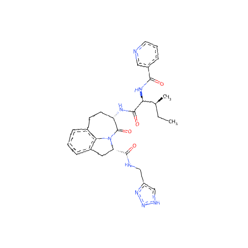 CC[C@H](C)[C@H](NC(=O)c1cccnc1)C(=O)N[C@H]1CCc2cccc3c2N(C1=O)[C@H](C(=O)NCc1c[nH]nn1)C3